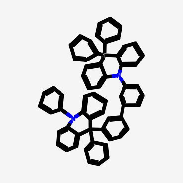 c1ccc(N2c3ccccc3C(c3ccccc3)(c3cccc(-c4cccc(N5c6ccccc6[Si](c6ccccc6)(c6ccccc6)c6ccccc65)c4)c3)c3ccccc32)cc1